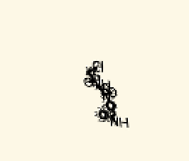 N=C(Cc1ccc(N2CC(CNC(=O)c3ccc(Cl)s3)OC2=O)cc1)N1CCCCC1